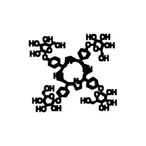 OC[C@H]1O[C@@H](Oc2ccc(-c3c4nc(c(-c5ccc(O[C@@H]6O[C@H](CO)[C@@H](O)[C@H](O)[C@H]6O)cc5)c5ccc([nH]5)c(-c5ccc(O[C@@H]6O[C@H](CO)[C@@H](O)[C@H](O)[C@H]6O)cc5)c5nc(c(-c6ccc(O[C@@H]7O[C@H](CO)[C@@H](O)[C@H](O)[C@H]7O)cc6)c6ccc3[nH]6)CC5)CC4)cc2)[C@H](O)[C@@H](O)[C@@H]1O